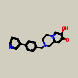 O=c1cc2n(cc1O)CCN(Cc1ccc(-c3cccnc3)cc1)C2